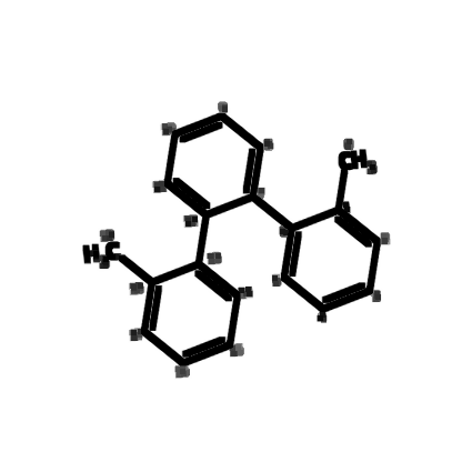 Cc1ccccc1-c1ccccc1-c1ccccc1C